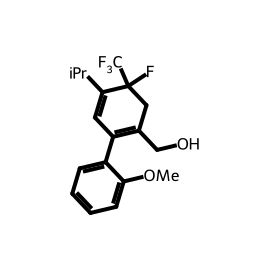 COc1ccccc1C1=C(CO)CC(F)(C(F)(F)F)C(C(C)C)=C1